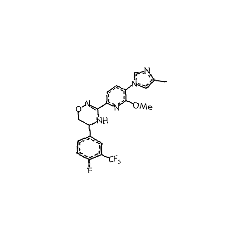 COc1nc(C2=NOCC(c3ccc(F)c(C(F)(F)F)c3)N2)ccc1-n1cnc(C)c1